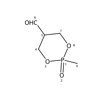 CP1(=O)OCC(C=O)CO1